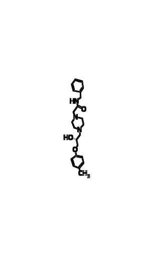 Cc1ccc(OC[C@H](O)CN2CCN(CC(=O)NCc3ccccc3)CC2)cc1